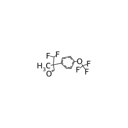 CC(C=O)(c1ccc(OC(F)(F)F)cc1)C(F)F